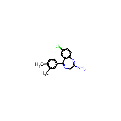 Cc1ccc(C2=NCC(N)=Nc3ccc(Cl)cc32)cc1C